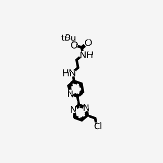 CC(C)(C)OC(=O)NCCNc1ccc(-c2nccc(CCl)n2)nc1